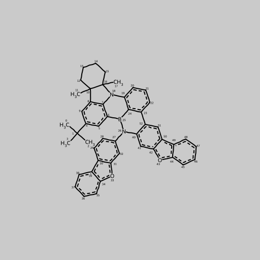 CC(C)(C)c1cc2c3c(c1)C1(C)CCCCC1(C)N3c1cccc3c1B2N(c1ccc2c(c1)oc1ccccc12)c1cc2oc4ccccc4c2cc1-3